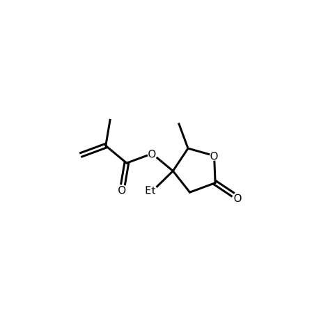 C=C(C)C(=O)OC1(CC)CC(=O)OC1C